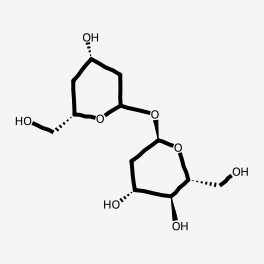 OC[C@@H]1C[C@H](O)CC(O[C@@H]2C[C@@H](O)[C@H](O)[C@@H](CO)O2)O1